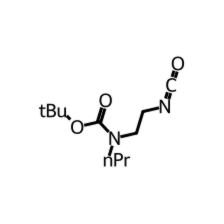 CCCN(CCN=C=O)C(=O)OC(C)(C)C